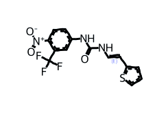 O=C(N/C=C/c1cccs1)Nc1ccc([N+](=O)[O-])c(C(F)(F)F)c1